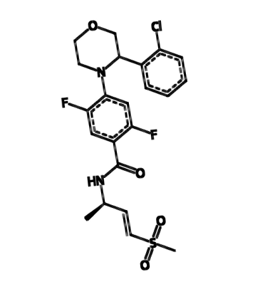 C[C@H](/C=C/S(C)(=O)=O)NC(=O)c1cc(F)c(N2CCOCC2c2ccccc2Cl)cc1F